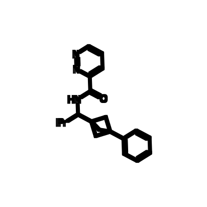 CC(C)C(NC(=O)c1cccnn1)C12CC(c3ccccc3)(C1)C2